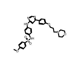 COc1ccc(S(=O)(=O)Nc2ccc(Nc3cc(-c4ccc(OCCCN5CCOCC5)cc4)ncn3)cc2)cc1